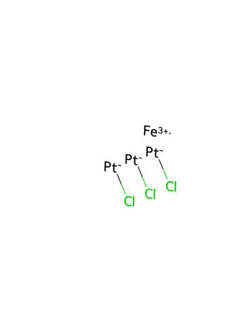 [Cl][Pt-].[Cl][Pt-].[Cl][Pt-].[Fe+3]